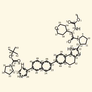 COC(=O)N[C@H](C(=O)N1CCC[C@H]1c1nc2c([nH]1)-c1ccc(-c3ccc4cc(-c5cnc([C@@H]6CCCN6C(=O)OC(C)(C)C)[nH]5)ccc4c3)cc1CC2)C1CCOCC1